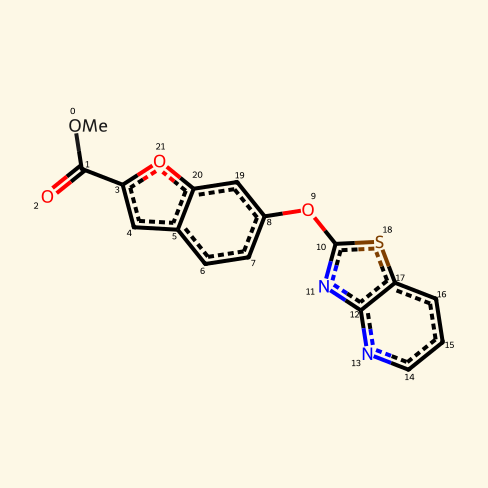 COC(=O)c1cc2ccc(Oc3nc4ncccc4s3)cc2o1